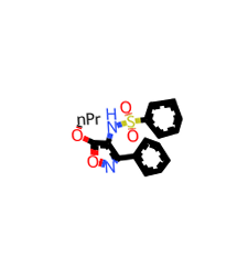 CCCOc1onc(-c2ccccc2)c1NS(=O)(=O)c1ccccc1